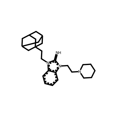 N=c1n(CCN2CCCCC2)c2ccccc2n1CCC12CC3CC(CC(C3)C1)C2